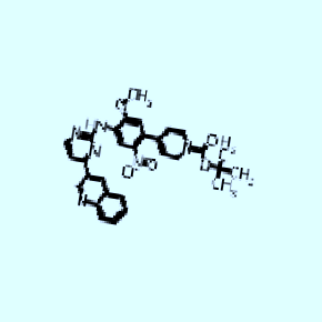 COc1cc(C2=CCN(C(=O)OC(C)(C)C)CC2)c([N+](=O)[O-])cc1Nc1nccc(-c2cnc3ccccc3c2)n1